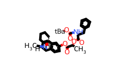 CC(OC(=O)C(Cc1ccccc1)NC(=O)OC(C)(C)C)C(=O)Oc1ccc2c(c1)[C@]13CCCC[C@@H]1[C@H](C2)N(C)CC3